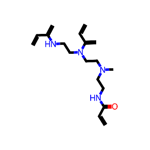 C=CC(=C)NCCN(CCN(C)CCNC(=O)C=C)C(=C)C=C